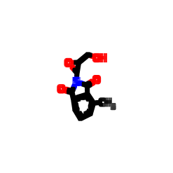 Cc1cccc2c1C(=O)N(C1OC1CO)C2=O